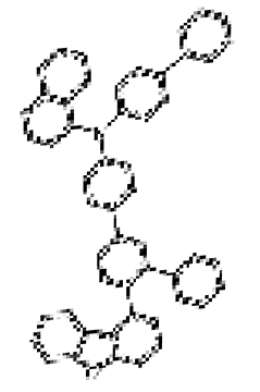 c1ccc(-c2ccc(N(c3ccc(-c4ccc(-c5cccc6oc7ccccc7c56)c(-c5ccccc5)c4)cc3)c3cccc4ccccc34)cc2)cc1